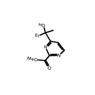 CCC(C)(O)c1ccnc(C(=O)OC)n1